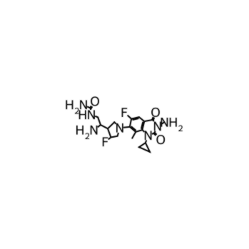 Cc1c(N2CC(F)C(C(N)CNC(N)=O)C2)c(F)cc2c(=O)n(N)c(=O)n(C3CC3)c12